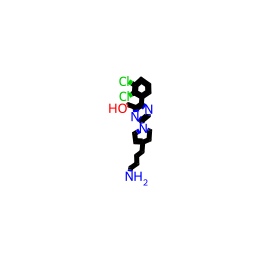 NCCCCC1=CCN(c2cnc(-c3cccc(Cl)c3Cl)c(CO)n2)CC1